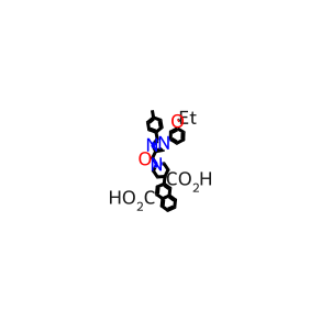 CCOc1cccc(-n2cc(C(=O)N3CCC(C(=O)O)(c4cc(C(=O)O)c5ccccc5c4)CC3)nc2-c2ccc(C)cc2)c1